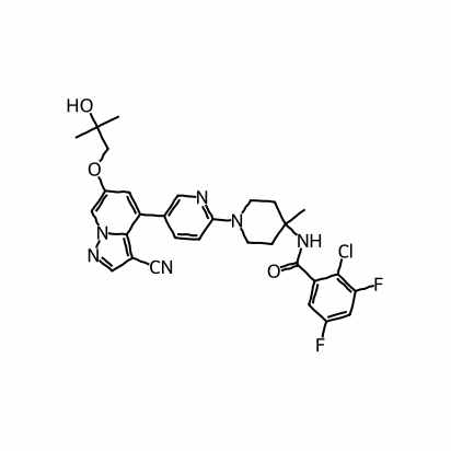 CC(C)(O)COc1cc(-c2ccc(N3CCC(C)(NC(=O)c4cc(F)cc(F)c4Cl)CC3)nc2)c2c(C#N)cnn2c1